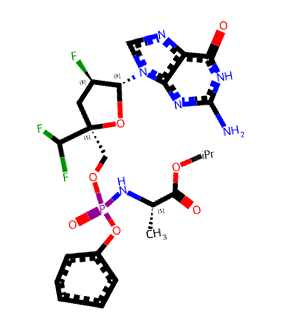 CC(C)OC(=O)[C@H](C)NP(=O)(OC[C@]1(C(F)F)C[C@@H](F)[C@H](n2cnc3c(=O)[nH]c(N)nc32)O1)Oc1ccccc1